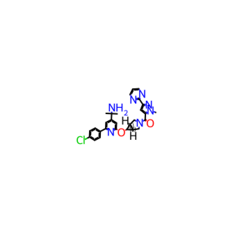 Cn1nc(-c2ncccn2)cc1C(=O)N1C[C@@H]2C(Oc3cc(C(C)(C)N)cc(-c4ccc(Cl)cc4)n3)[C@@H]2C1